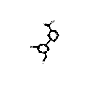 O=Cc1cc(Br)cc(-c2cccc(C(O)=S)c2)c1